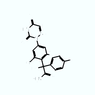 CC(C(N)=S)(c1ccc(Cl)cc1)c1c(Cl)cc(-n2ncc(=O)[nH]c2=O)cc1Cl